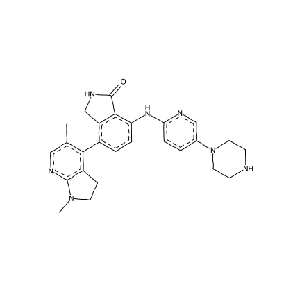 Cc1cnc2c(c1-c1ccc(Nc3ccc(N4CCNCC4)cn3)c3c1CNC3=O)CCN2C